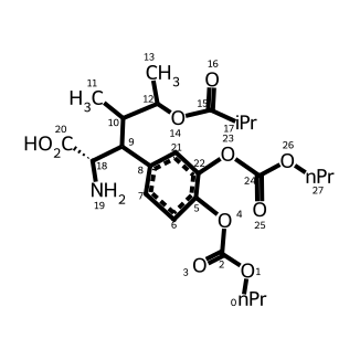 CCCOC(=O)Oc1ccc(C(C(C)C(C)OC(=O)C(C)C)[C@H](N)C(=O)O)cc1OC(=O)OCCC